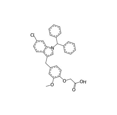 COc1cc(Cc2cn(C(c3ccccc3)c3ccccc3)c3cc(Cl)ccc23)ccc1OCC(=O)O